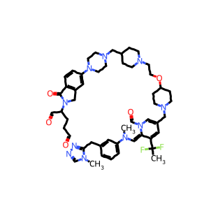 CN(/C=C1/C(C(C)(F)F)=CC(CN2CCC(OCCN3CCC(CN4CCN(c5ccc6c(c5)CN(C(C=O)CCC=O)C6=O)CC4)CC3)CC2)=CN1C=O)c1cccc(Cc2nncn2C)c1